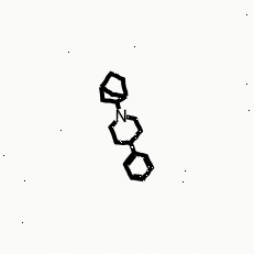 c1ccc(C2CCN(C3CC4CCC3C4)CC2)cc1